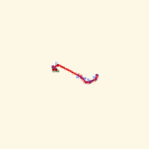 COc1ccc2c(c1)C(c1ccc(Cl)cc1)=N[C@H](CC(=O)Nc1ccc(OCCOCCOCCOCCOCCOCCOCCOCCOCCNC(=O)CCNC(=O)c3nc(NC(=O)CCNC(=O)c4cc(NC(=O)c5nc(NC(=O)CCNC(=O)c6cc(NC(=O)c7nccn7C)cn6C)cn5C)cn4C)cn3C)cc1)c1nnc(C)n1-2